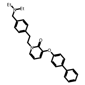 CCN(CC)Cc1ccc(CCn2cccc(Oc3ccc(-c4ccccc4)cc3)c2=O)cc1